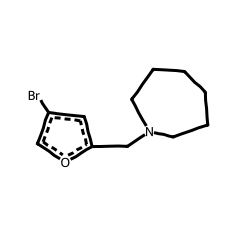 Brc1coc(CN2CCCCCC2)c1